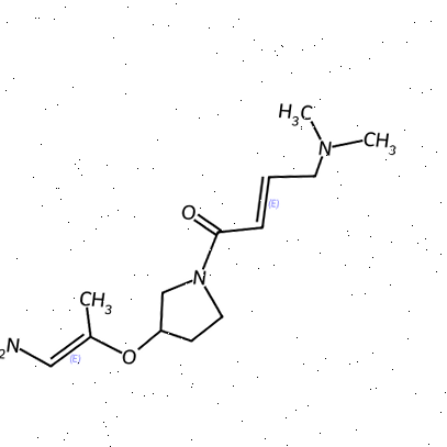 C/C(=C\N)OC1CCN(C(=O)/C=C/CN(C)C)C1